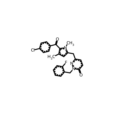 Cc1cc(Cc2ccc(=O)n(Cc3ccccc3F)n2)n(C)c1C(=O)c1ccc(Cl)cc1